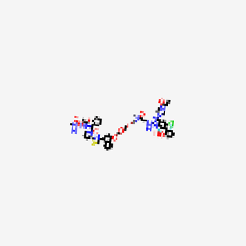 C=CC(=O)N1CCN(c2nc(NCCC(=O)N(C)CCOCCOCCOc3ccc(-c4csc([C@@H]5CCCN5C(=O)[C@@H](NC(=O)[C@H](C)OC(=O)NC)C5CCCCC5)n4)c4ccccc34)nc3c(F)c(-c4c(O)cccc4F)c(Cl)cc23)CC1